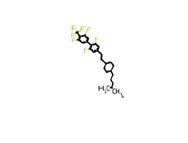 CC(C)CCCC1CCC(CCc2cc(F)c(-c3cc(F)c(C(F)(F)F)c(F)c3)c(F)c2)CC1